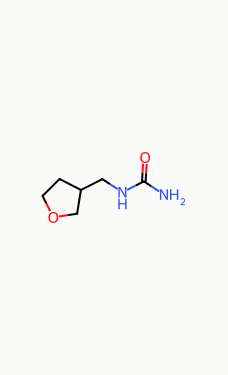 NC(=O)NCC1CCOC1